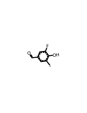 O=Cc1cc(F)c(O)c(I)c1